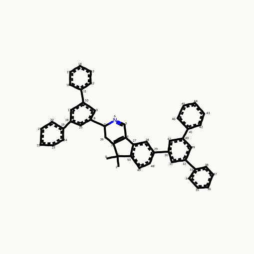 CC1(C)C2=C(C=NC(c3cc(-c4ccccc4)cc(-c4ccccc4)c3)C2)c2cc(-c3cc(-c4ccccc4)cc(-c4ccccc4)c3)ccc21